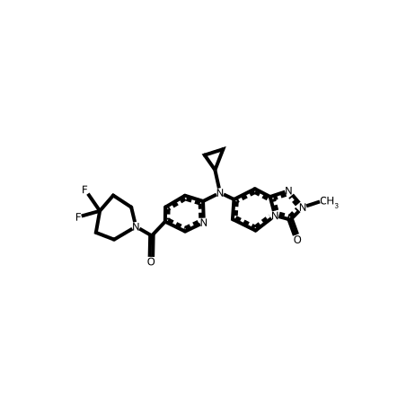 Cn1nc2cc(N(c3ccc(C(=O)N4CCC(F)(F)CC4)cn3)C3CC3)ccn2c1=O